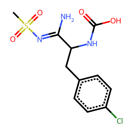 CS(=O)(=O)N=C(N)C(Cc1ccc(Cl)cc1)NC(=O)O